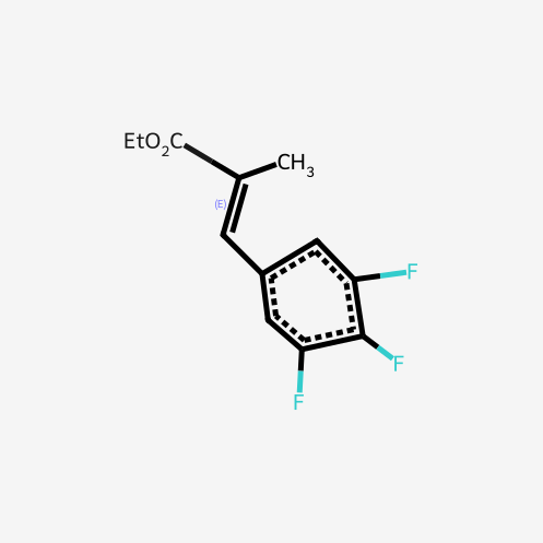 CCOC(=O)/C(C)=C/c1cc(F)c(F)c(F)c1